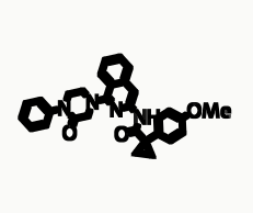 COc1ccc(C2(C(=O)Nc3cc4ccccc4c(N4CCN(c5ccccc5)C(=O)C4)n3)CC2)cc1